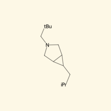 CC(C)CC1C2CN(CC(C)(C)C)CC12